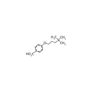 C[Si](C)(C)CCCOc1ccc(C(=O)O)cc1